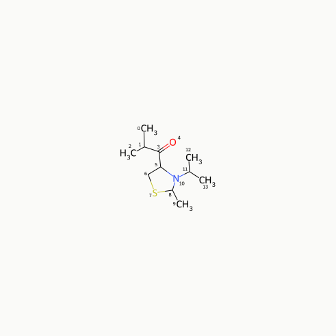 CC(C)C(=O)C1CSC(C)N1C(C)C